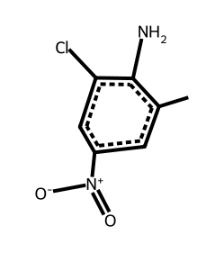 Cc1cc([N+](=O)[O-])cc(Cl)c1N